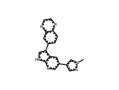 Cn1cc(-c2cnc3[nH]cc(-c4ccc5nccnc5c4)c3c2)cn1